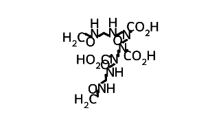 C=CC(=O)NCCCNC(=O)CN(CCN(CCN(CC(=O)O)CC(=O)NCCCNC(=O)C=C)CC(=O)O)CC(=O)O